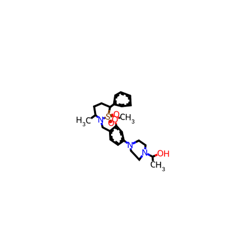 COc1cc(N2CCN(C(C)O)CC2)ccc1CN1C(C)CCC(c2ccccc2)S1(=O)=O